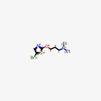 CCN(CC)CCCOc1ncc(Br)s1